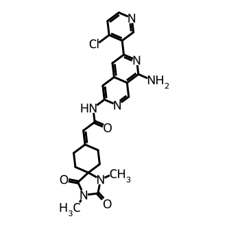 CN1C(=O)N(C)C2(CCC(=CC(=O)Nc3cc4cc(-c5cnccc5Cl)nc(N)c4cn3)CC2)C1=O